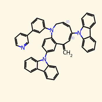 C=C1/C=C(n2c3ccccc3c3ccccc32)\C=C/CN(c2cccc(-c3cccnc3)c2)c2ccc(-n3c4ccccc4c4ccccc43)cc21